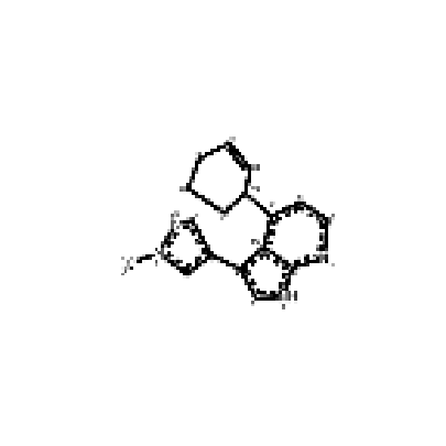 Cn1cc(-c2c[nH]c3nccc(C4C=CCCC4)c23)cn1